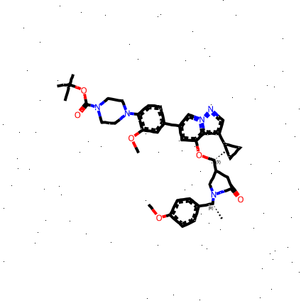 COc1ccc([C@@H](C)N2CC([C@@H](C)Oc3cc(-c4ccc(N5CCN(C(=O)OC(C)(C)C)CC5)c(OC)c4)cn4ncc(C5CC5)c34)CC2=O)cc1